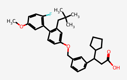 COc1ccc(F)c(-c2ccc(OCc3cccc(C(CC(=O)O)C4CCCC4)c3)cc2CC(C)(C)C)c1